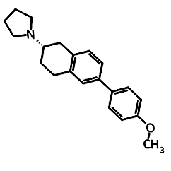 COc1ccc(-c2ccc3c(c2)CC[C@H](N2CCCC2)C3)cc1